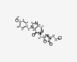 COc1ccc(Cn2cnc3cnn(Cc4nn(CCCl)c(=O)o4)c(=O)c32)cc1